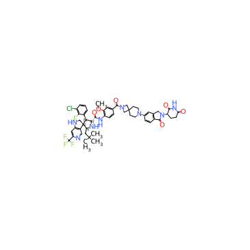 COc1cc(C(=O)N2CC3(CCN(c4ccc5c(c4)CN(C4CCC(=O)NC4=O)C5=O)CC3)C2)ccc1NC(=O)[C@@H]1N[C@@H](CC(C)(C)C)[C@@]2(CNc3cc(C(F)(F)F)ncc32)[C@H]1c1cccc(Cl)c1F